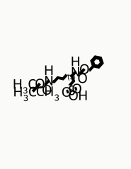 CC(C)(C)OC(=O)NCCCC[C@@H](CCS(=O)(=O)O)NC(=O)OCc1ccccc1